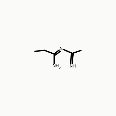 CC/C(N)=N/C(C)=N